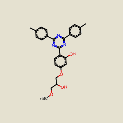 CCCCOCC(O)COc1ccc(-c2nc(-c3ccc(C)cc3)nc(-c3ccc(C)cc3)n2)c(O)c1